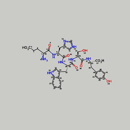 N[C@@H](CCC(=O)O)C(=O)N[C@@H](Cc1c[nH]cn1)C(=O)N[C@@H](Cc1c[nH]c2ccccc12)C(=O)N[C@@H](CO)C(=O)N[C@@H](Cc1ccc(O)cc1)C(=O)O